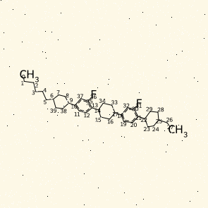 CCCCCCC1CCC(c2ccc(C3CCC(c4ccc(C5CCC(CC)CC5)c(F)c4)CC3)c(F)c2)CC1